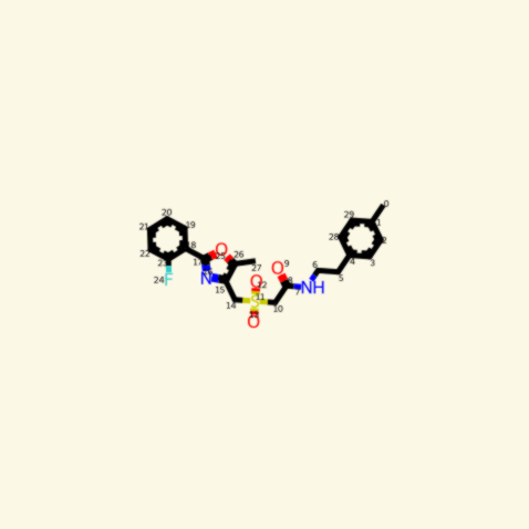 Cc1ccc(CCNC(=O)CS(=O)(=O)Cc2nc(-c3ccccc3F)oc2C)cc1